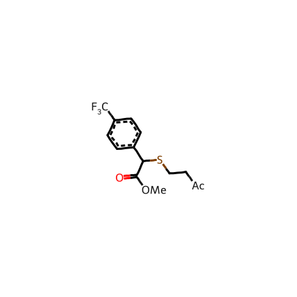 COC(=O)C(SCCC(C)=O)c1ccc(C(F)(F)F)cc1